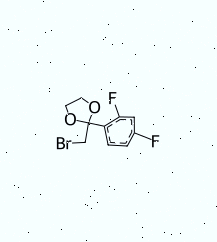 Fc1ccc(C2(CBr)OCCO2)c(F)c1